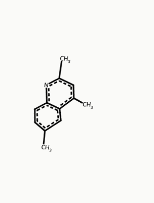 Cc1ccc2nc(C)cc(C)c2c1